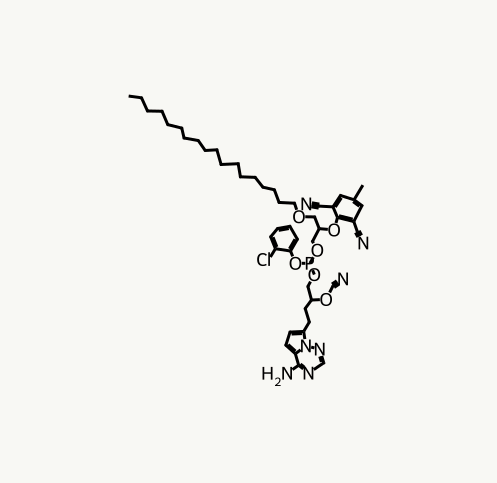 CCCCCCCCCCCCCCCCCCOCC(COP(OCC(CCc1ccc2c(N)ncnn12)OC#N)Oc1ccccc1Cl)Oc1c(C#N)cc(C)cc1C#N